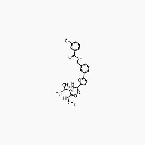 CNC(=O)[C@@H](NC(=O)c1ccc(-c2cccc(CNC(=O)c3cccc(Cl)n3)c2)o1)C(C)C